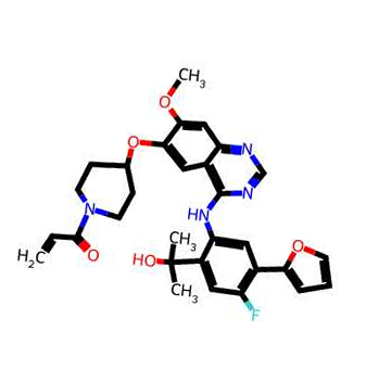 C=CC(=O)N1CCC(Oc2cc3c(Nc4cc(-c5ccco5)c(F)cc4C(C)(C)O)ncnc3cc2OC)CC1